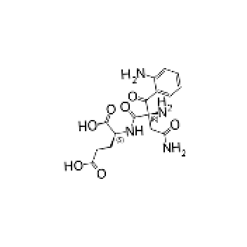 NC(=O)C[C@](N)(C(=O)N[C@@H](CCC(=O)O)C(=O)O)C(=O)c1ccccc1N